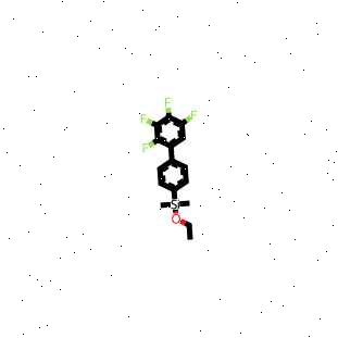 CCO[Si](C)(C)c1ccc(-c2cc(F)c(F)c(F)c2F)cc1